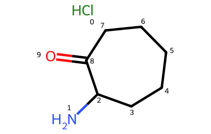 Cl.NC1CCCCCC1=O